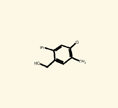 Cc1cc(CO)c(C(C)C)cc1Cl